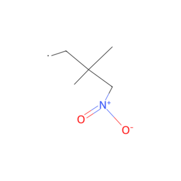 [CH2]CC(C)(C)C[N+](=O)[O-]